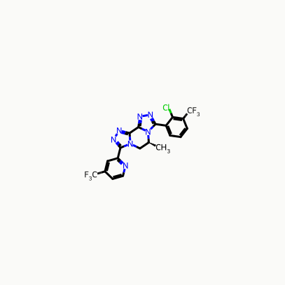 C[C@H]1Cn2c(-c3cc(C(F)(F)F)ccn3)nnc2-c2nnc(-c3cccc(C(F)(F)F)c3Cl)n21